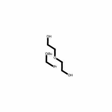 CC(C)COCC(C)C.OCCOCCO